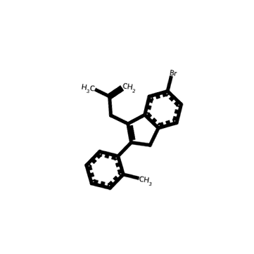 C=C(C)CC1=C(c2ccccc2C)Cc2ccc(Br)cc21